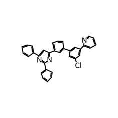 Clc1cc(-c2cccc(-c3cc(-c4ccccc4)nc(-c4ccccc4)n3)c2)cc(-c2ccccn2)c1